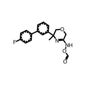 CC1(c2cccc(-c3ccc(F)cc3)c2)COCC(NOC=O)=N1